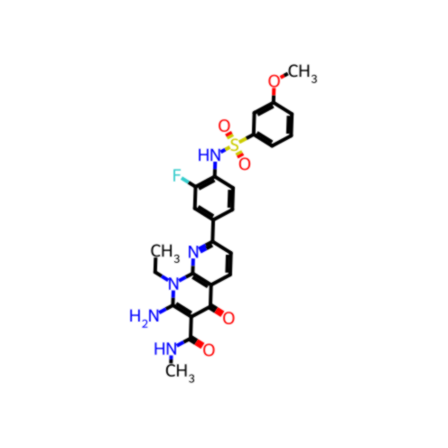 CCn1c(N)c(C(=O)NC)c(=O)c2ccc(-c3ccc(NS(=O)(=O)c4cccc(OC)c4)c(F)c3)nc21